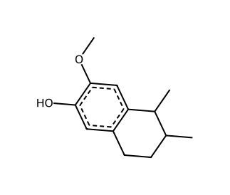 COc1cc2c(cc1O)CCC(C)C2C